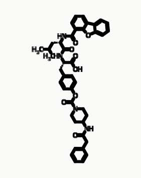 CC(C)C[C@H](NC(=O)c1cccc2c1oc1ccccc12)C(=O)N[C@@H](Cc1ccc(OC(=O)N2CCC(NC(=O)Cc3ccccc3)CC2)cc1)C(=O)O